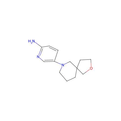 Nc1ccc(N2CCCC3(CCOC3)C2)cn1